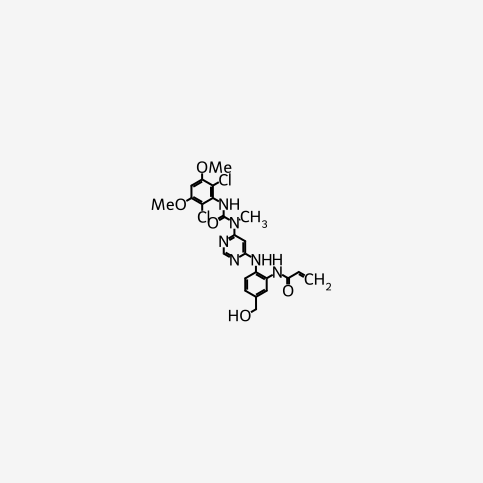 C=CC(=O)Nc1cc(CO)ccc1Nc1cc(N(C)C(=O)Nc2c(Cl)c(OC)cc(OC)c2Cl)ncn1